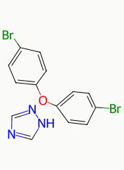 Brc1ccc(Oc2ccc(Br)cc2)cc1.c1nc[nH]n1